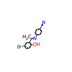 C/C(=N\c1ccc(C#N)cc1)c1cc(Br)ccc1O